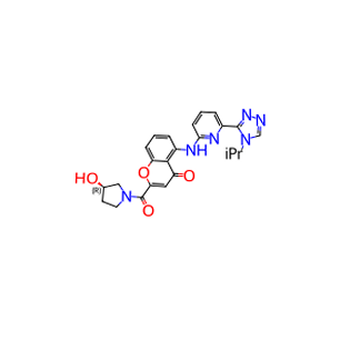 CC(C)n1cnnc1-c1cccc(Nc2cccc3oc(C(=O)N4CC[C@@H](O)C4)cc(=O)c23)n1